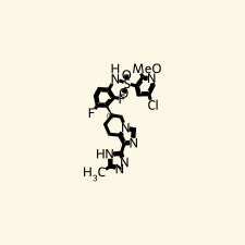 COc1ncc(Cl)cc1S(=O)(=O)Nc1ccc(F)c([C@@H]2CCc3c(-c4nnc(C)[nH]4)ncn3C2)c1F